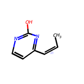 C/C=C\c1ccnc(O)n1